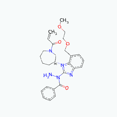 C=CC(=O)N1CCCC[C@@H](n2c(N(N)C(=O)c3ccccc3)nc3cccc(COCCOC)c32)C1